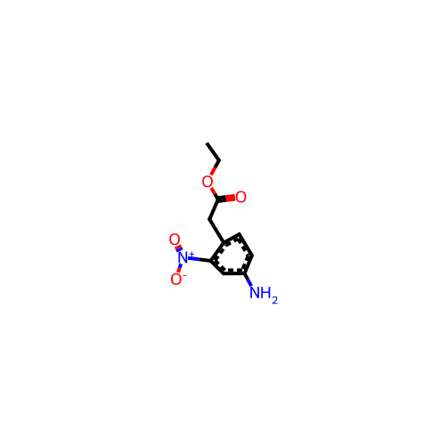 CCOC(=O)Cc1ccc(N)cc1[N+](=O)[O-]